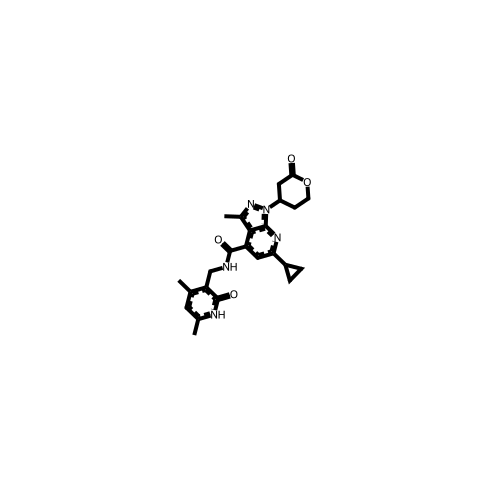 Cc1cc(C)c(CNC(=O)c2cc(C3CC3)nc3c2c(C)nn3C2CCOC(=O)C2)c(=O)[nH]1